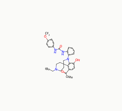 COC(=O)c1ccc(O)c2c1C1(CCN(CC(C)(C)C)CC1)CN2c1ccccc1NC(=O)Nc1ccc(OC(F)(F)F)cc1